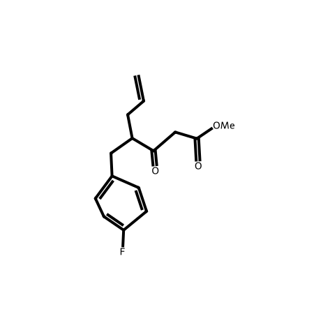 C=CCC(Cc1ccc(F)cc1)C(=O)CC(=O)OC